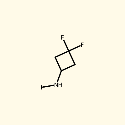 FC1(F)CC(NI)C1